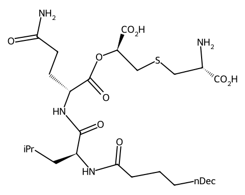 CCCCCCCCCCCCCC(=O)N[C@@H](CC(C)C)C(=O)N[C@H](CCC(N)=O)C(=O)O[C@H](CSC[C@H](N)C(=O)O)C(=O)O